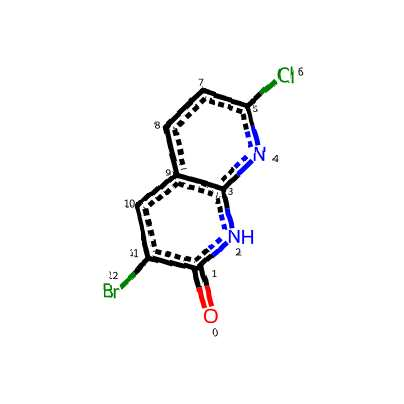 O=c1[nH]c2nc(Cl)ccc2cc1Br